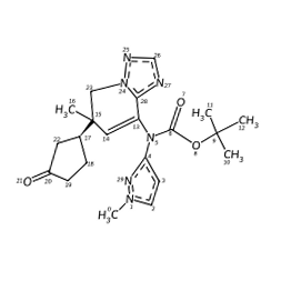 Cn1ccc(N(C(=O)OC(C)(C)C)C2=CC(C)([C@H]3CCC(=O)C3)Cn3ncnc32)n1